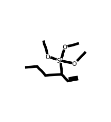 C=CC(CCC)[Si](OC)(OC)OC